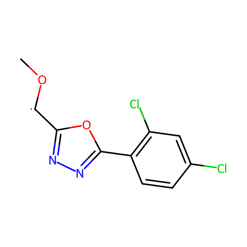 CO[CH]c1nnc(-c2ccc(Cl)cc2Cl)o1